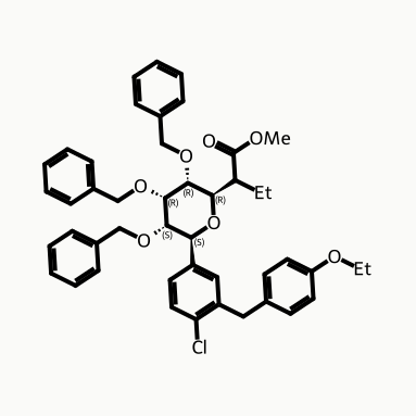 CCOc1ccc(Cc2cc([C@@H]3O[C@H](C(CC)C(=O)OC)[C@@H](OCc4ccccc4)[C@@H](OCc4ccccc4)[C@H]3OCc3ccccc3)ccc2Cl)cc1